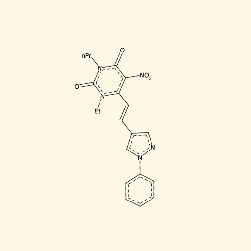 CCCn1c(=O)c([N+](=O)[O-])c(C=Cc2cnn(-c3ccccc3)c2)n(CC)c1=O